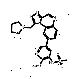 COc1ncc(-c2ccc3ncc4nnc(CN5CCCC5)n4c3c2)cc1NS(C)(=O)=O